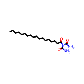 CCCCCCCCC=CCCCCCCCC(=O)N(C(N)=O)C(N)=O